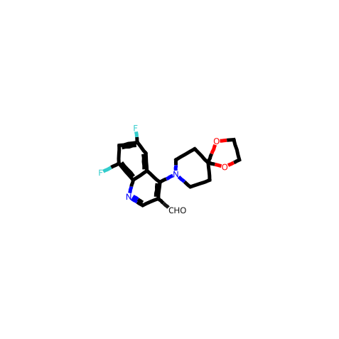 O=Cc1cnc2c(F)cc(F)cc2c1N1CCC2(CC1)OCCO2